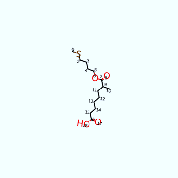 CSCCCCOC(=O)C(C)CCCCCC(=O)O